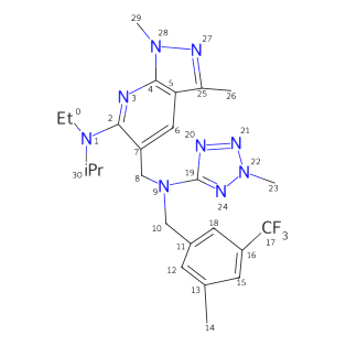 CCN(c1nc2c(cc1CN(Cc1cc(C)cc(C(F)(F)F)c1)c1nnn(C)n1)c(C)nn2C)C(C)C